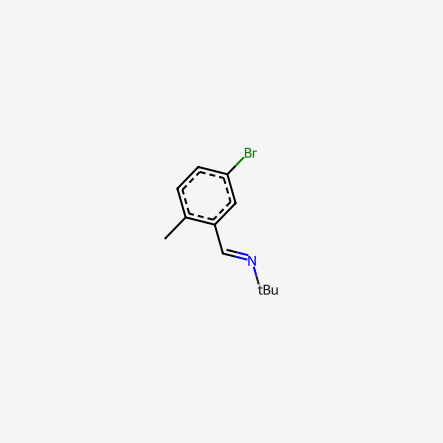 Cc1ccc(Br)cc1/C=N/C(C)(C)C